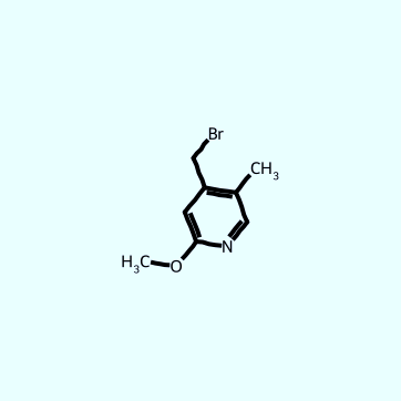 COc1cc(CBr)c(C)cn1